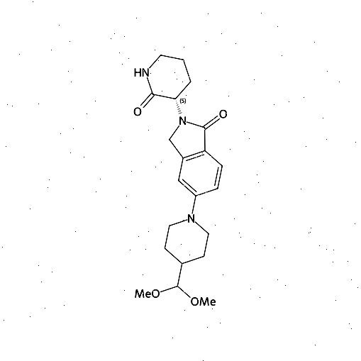 COC(OC)C1CCN(c2ccc3c(c2)CN([C@H]2CCCNC2=O)C3=O)CC1